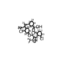 CC(C)c1onc(-c2c(Cl)cccc2Cl)c1COc1ccc(C2(C#N)CC2c2cccc(C(=O)O)c2)c(Cl)c1